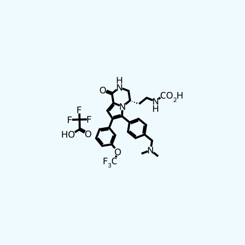 CN(C)Cc1ccc(-c2c(-c3cccc(OC(F)(F)F)c3)cc3n2[C@@H](CCNC(=O)O)CNC3=O)cc1.O=C(O)C(F)(F)F